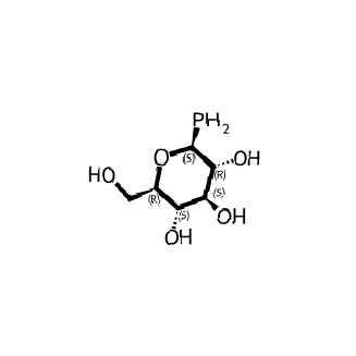 OC[C@H]1O[C@@H](P)[C@H](O)[C@@H](O)[C@@H]1O